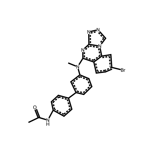 CC(=O)Nc1ccc(-c2cccc(N(C)c3nc4nncn4c4cc(Br)ccc34)c2)cc1